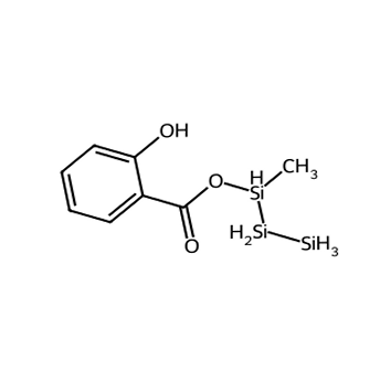 C[SiH](OC(=O)c1ccccc1O)[SiH2][SiH3]